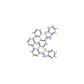 c1ccc(-c2cccc(-c3cccc(-c4nc5ccccc5o4)c3)c2-c2cccc(-c3nc4ccccc4o3)c2)cc1